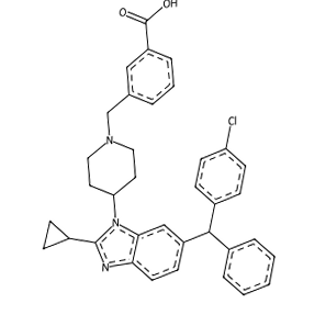 O=C(O)c1cccc(CN2CCC(n3c(C4CC4)nc4ccc(C(c5ccccc5)c5ccc(Cl)cc5)cc43)CC2)c1